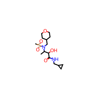 CC(C(O)C(=O)NCC1CC1)N(CC1CCOCC1)S(C)(=O)=O